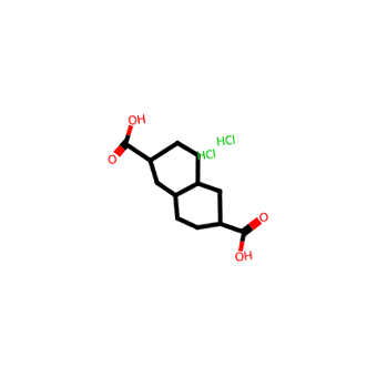 Cl.Cl.O=C(O)C1CCC2CC(C(=O)O)CCC2C1